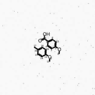 COc1ccc(C(=O)O)cc1.COc1ccc(C)cc1